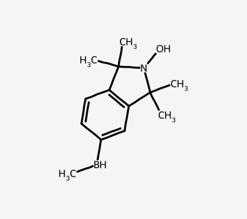 CBc1ccc2c(c1)C(C)(C)N(O)C2(C)C